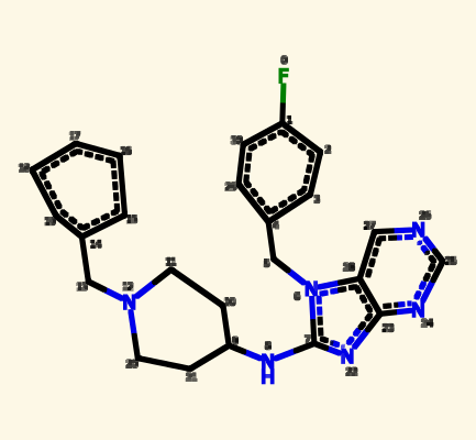 Fc1ccc(Cn2c(NC3CCN(Cc4ccccc4)CC3)nc3ncncc32)cc1